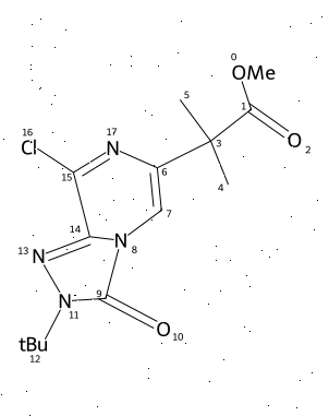 COC(=O)C(C)(C)c1cn2c(=O)n(C(C)(C)C)nc2c(Cl)n1